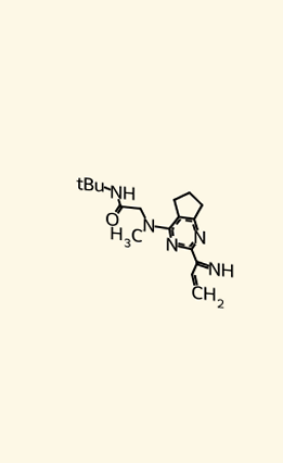 C=CC(=N)c1nc2c(c(N(C)CC(=O)NC(C)(C)C)n1)CCC2